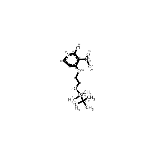 CC(C)(C)[Si](C)(C)OCCOc1ccnc(Cl)c1[N+](=O)[O-]